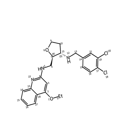 CCOc1cc(NC[C@H]2OCC[C@@H]2NCc2ccc(Cl)c(Cl)c2)nc2ccccc12